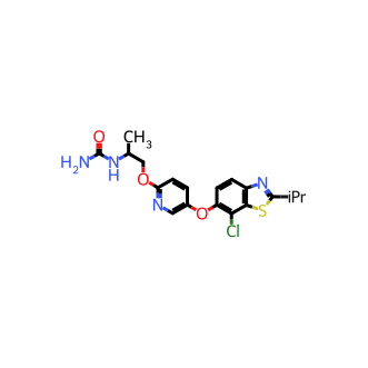 CC(COc1ccc(Oc2ccc3nc(C(C)C)sc3c2Cl)cn1)NC(N)=O